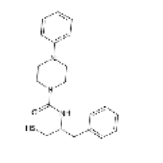 O=C(NC(CS)Cc1ccccc1)N1CCN(c2ccccc2)CC1